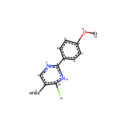 CCCCCCc1cnc(-c2ccc(OCC)cc2)nc1F